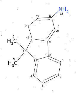 CC1(C)c2ccccc2C2=CC(N)=CCC21